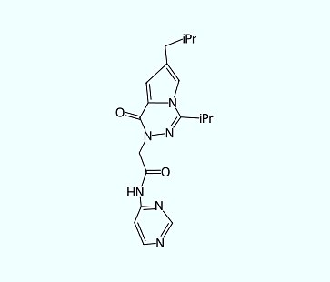 CC(C)Cc1cc2c(=O)n(CC(=O)Nc3ccncn3)nc(C(C)C)n2c1